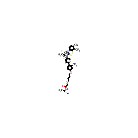 CC(NC(=O)COCCCCOc1ccc(-c2ncc(N(C(=S)N(C)c3ccc(C#N)c(C(F)(F)F)c3F)C(C)(C)C=O)cc2F)c(C(F)(F)F)c1)C(C)(C)C